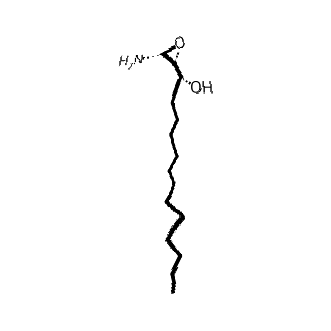 CCCCCCCCCCCC[C@@H](O)[C@H]1O[C@H]1N